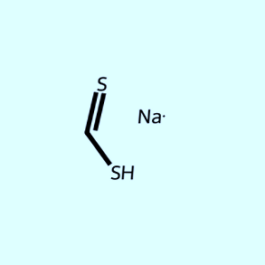 S=CS.[Na]